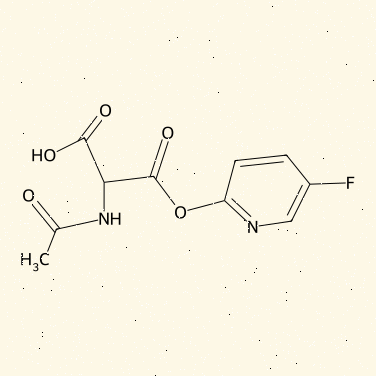 CC(=O)NC(C(=O)O)C(=O)Oc1ccc(F)cn1